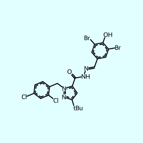 CC(C)(C)c1cc(C(=O)N/N=C/c2cc(Br)c(O)c(Br)c2)n(Cc2ccc(Cl)cc2Cl)n1